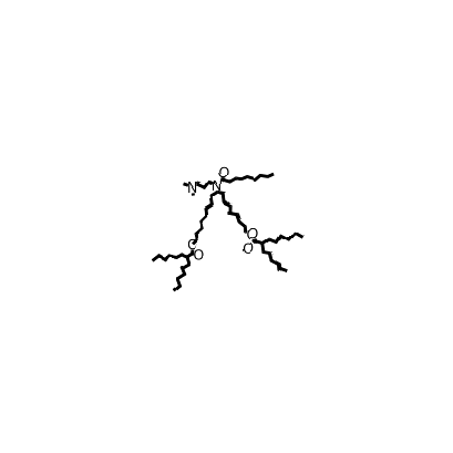 CCCCCCCCC(=O)N(CCCN(C)C)C(CCCCCCCCOC(=O)C(CCCCCC)CCCCCC)CCCCCCCCOC(=O)C(CCCCCC)CCCCCC